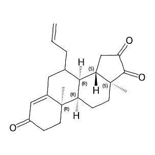 C=CCC1CC2=CC(=O)CC[C@]2(C)[C@@H]2CC[C@]3(C)C(=O)C(=O)C[C@H]3[C@H]12